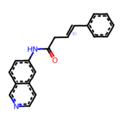 O=C(C/C=C/c1ccccc1)Nc1ccc2cnccc2c1